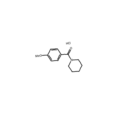 COc1ccc(C(=O)N2CCCCC2)cc1.Cl